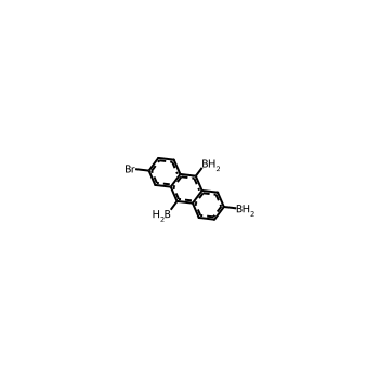 Bc1ccc2c(B)c3cc(Br)ccc3c(B)c2c1